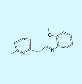 COc1ccccc1N=CCc1cccc(C)n1